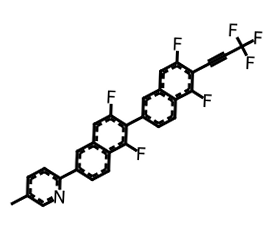 Cc1ccc(-c2ccc3c(F)c(-c4ccc5c(F)c(C#CC(F)(F)F)c(F)cc5c4)c(F)cc3c2)nc1